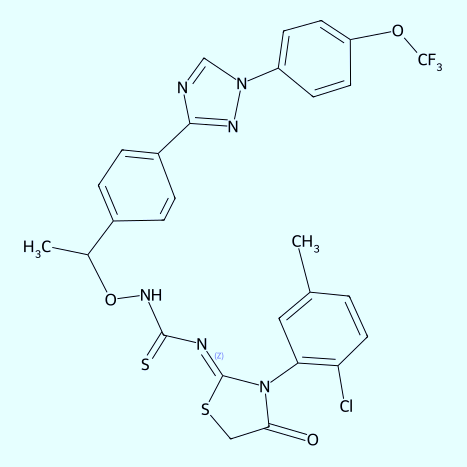 Cc1ccc(Cl)c(N2C(=O)CS/C2=N\C(=S)NOC(C)c2ccc(-c3ncn(-c4ccc(OC(F)(F)F)cc4)n3)cc2)c1